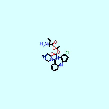 CCC(C)(N)C(=O)OC(C)OC(=O)N1C(N2CCN(C)CC2)=c2ccccc2=Nc2ccc(Cl)cc21